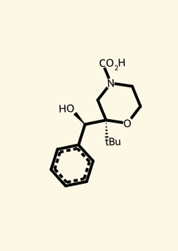 CC(C)(C)[C@]1([C@H](O)c2ccccc2)CN(C(=O)O)CCO1